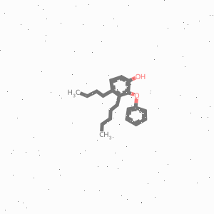 CCCCCc1c(CCCC)ccc(O)c1Oc1ccccc1